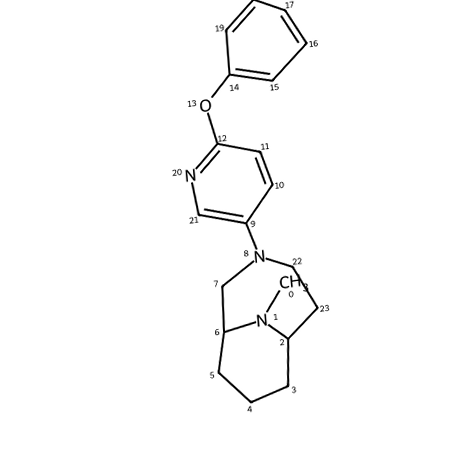 CN1C2CCCC1CN(c1ccc(Oc3ccccc3)nc1)CC2